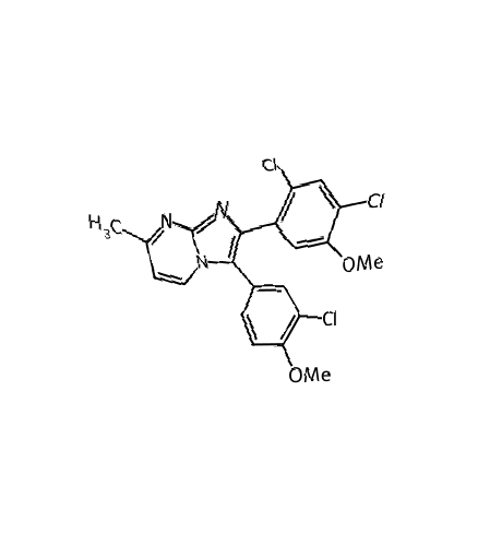 COc1ccc(-c2c(-c3cc(OC)c(Cl)cc3Cl)nc3nc(C)ccn23)cc1Cl